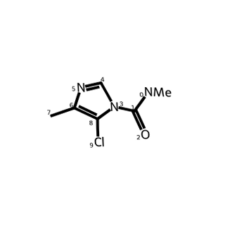 CNC(=O)n1cnc(C)c1Cl